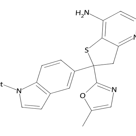 CCn1ccc2cc(C3(c4ncc(C)o4)Cc4nccc(N)c4S3)ccc21